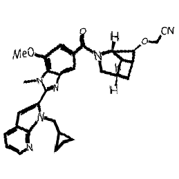 COc1cc(C(=O)N2C[C@H]3CC4[C@H]3[C@H]2[C@H]4OCC#N)cc2nc(-c3cc4cccnc4n3CC3CC3)n(C)c12